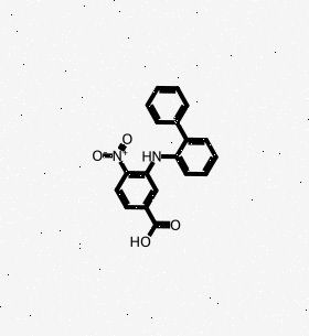 O=C(O)c1ccc([N+](=O)[O-])c(Nc2ccccc2-c2ccccc2)c1